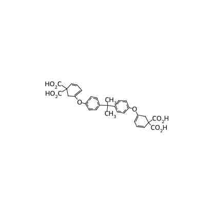 CC(C)(c1ccc(OC2=CC=CC(C(=O)O)(C(=O)O)C2)cc1)c1ccc(OC2=CC=CC(C(=O)O)(C(=O)O)C2)cc1